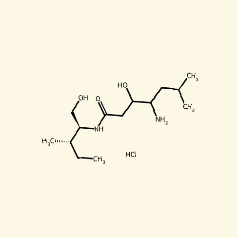 CC[C@H](C)[C@@H](CO)NC(=O)CC(O)C(N)CC(C)C.Cl